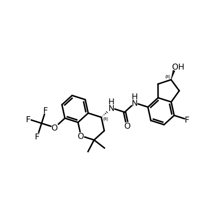 CC1(C)C[C@@H](NC(=O)Nc2ccc(F)c3c2C[C@@H](O)C3)c2cccc(OC(F)(F)F)c2O1